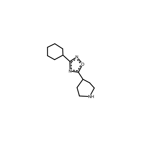 C1CCC(c2noc(C3CCNCC3)n2)CC1